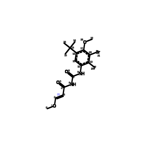 CO/C=C/C(=O)NC(=O)Nc1cc(C(C)(C)C)c(OC)c(Br)c1F